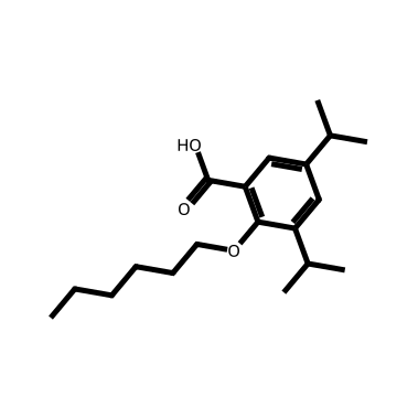 CCCCCCOc1c(C(=O)O)cc(C(C)C)cc1C(C)C